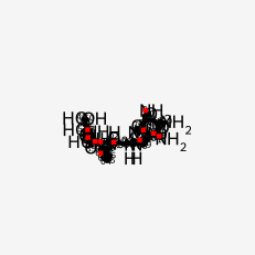 NC(=O)CN1CCN(CC(N)=O)CCN(CC(N)=O)C(Cc2ccc(NC(=S)NCCCCC(=O)N(CCCCC(NC(=O)N[C@H](CCC(O)O)C(=O)O)C(=O)O)Cc3nccc4ccccc34)cc2)CN(CC(N)=O)CC1